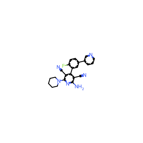 N#Cc1c(N)nc(N2CCCCC2)c(C#N)c1-c1cc(-c2cccnc2)ccc1F